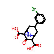 O=C(O)C1C(=O)C(C(=O)O)C2CC(c3cccc(Br)c3)CC1N2